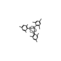 Cc1cc(C)c(B2OB(c3c(C)cc(C)cc3C)OB(c3c(C)cc(C)cc3C)O2)c(C)c1